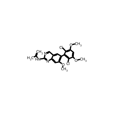 C=C(C)Nc1ncc2cc(-c3c(Cl)c(OC)cc(OC)c3Cl)c(OC)cc2n1